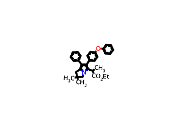 CCOC(=O)C(C)c1c(-c2ccc(Oc3ccccc3)cc2)c(-c2ccccc2)c2n1CC(C)(C)C2